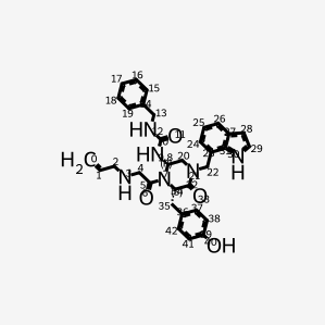 C=CCNCC(=O)N1[C@@H](NC(=O)NCc2ccccc2)CN(Cc2cccc3cc[nH]c23)C(=O)[C@@H]1Cc1ccc(O)cc1